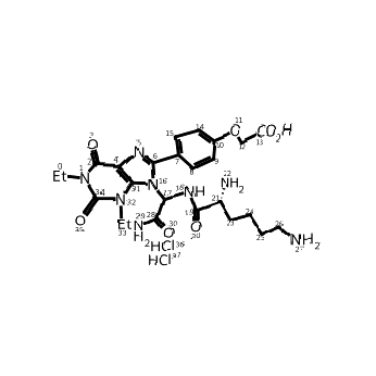 CCn1c(=O)c2nc(-c3ccc(OCC(=O)O)cc3)n(C(NC(=O)[C@H](N)CCCCN)C(N)=O)c2n(CC)c1=O.Cl.Cl